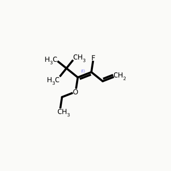 C=C/C(F)=C(\OCC)C(C)(C)C